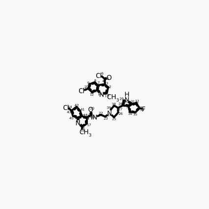 Cc1cc(C(=O)Cl)c2ccc(Cl)cc2n1.Cc1cc(C(=O)NCCN2CCC(c3c[nH]c4cc(F)ccc34)CC2)c2ccc(Cl)cc2n1